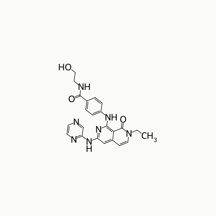 CCn1ccc2cc(Nc3cnccn3)nc(Nc3ccc(C(=O)NCCO)cc3)c2c1=O